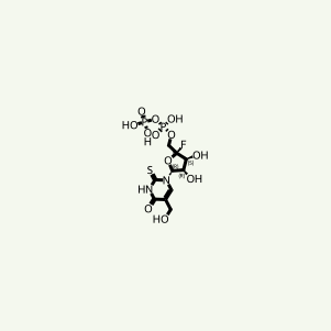 O=c1[nH]c(=S)n([C@@H]2O[C@](F)(COP(=O)(O)OP(=O)(O)O)[C@@H](O)[C@H]2O)cc1CO